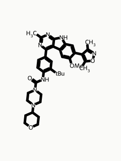 COc1cc2c(cc1-c1c(C)noc1C)[nH]c1nc(C)nc(-c3ccc(NC(=O)N4CCN(C5CCOCC5)CC4)c(C(C)(C)C)c3)c12